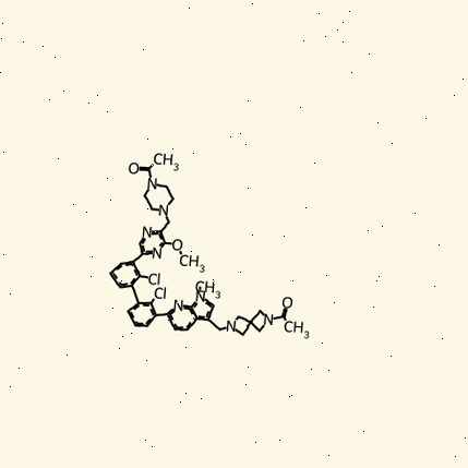 COc1nc(-c2cccc(-c3cccc(-c4ccc5c(CN6CC7(C6)CN(C(C)=O)C7)cn(C)c5n4)c3Cl)c2Cl)cnc1CN1CCN(C(C)=O)CC1